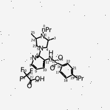 CCCN1C(C)CN(c2ncccc2NS(=O)(=O)c2ccc(C(C)C)cc2)CC1C.O=C(O)C(F)(F)F